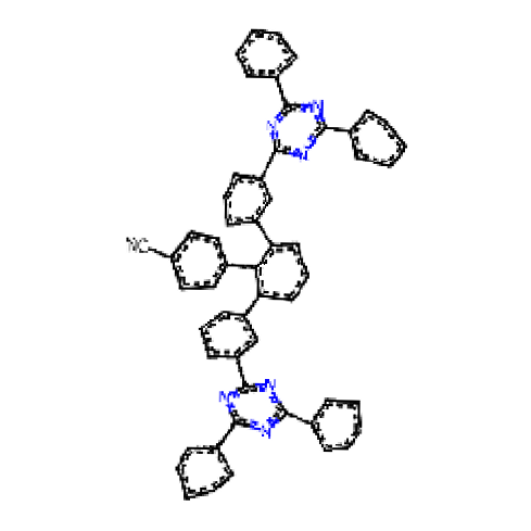 N#Cc1ccc(-c2c(-c3cccc(-c4nc(-c5ccccc5)nc(-c5ccccc5)n4)c3)cccc2-c2cccc(-c3nc(-c4ccccc4)nc(-c4ccccc4)n3)c2)cc1